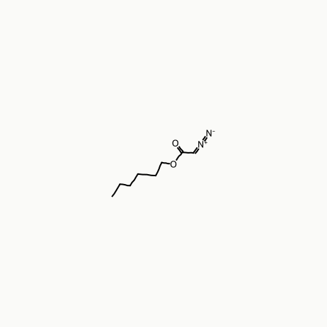 CCCCCCOC(=O)C=[N+]=[N-]